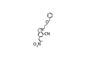 C/C(=C\c1cc(C#N)c2c(c1)CCN2CCCOCc1ccccc1)[N+](=O)[O-]